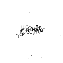 CC1CCC(N(CC(F)(F)C(F)(F)C(F)(F)C(F)(F)F)C(=O)O)CC1N(CC(F)(F)C(F)(F)C(F)(F)C(F)(F)F)C(=O)O